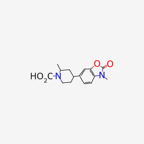 CC1CC(c2ccc3c(c2)oc(=O)n3C)CCN1C(=O)O